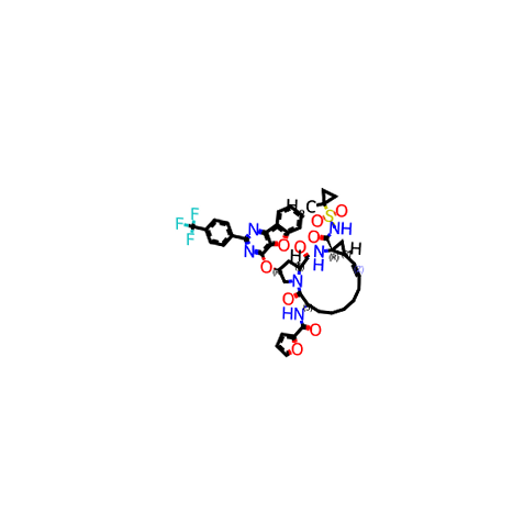 CC1(S(=O)(=O)NC(=O)[C@@]23C[C@H]2/C=C\CCCCC[C@H](NC(=O)c2ccco2)C(=O)N2C[C@H](Oc4nc(-c5ccc(C(F)(F)F)cc5)nc5c4oc4ccccc45)C[C@H]2C(=O)N3)CC1